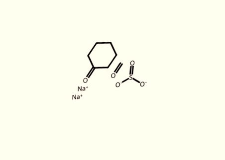 C=O.O=C1CCCCC1.O=S([O-])[O-].[Na+].[Na+]